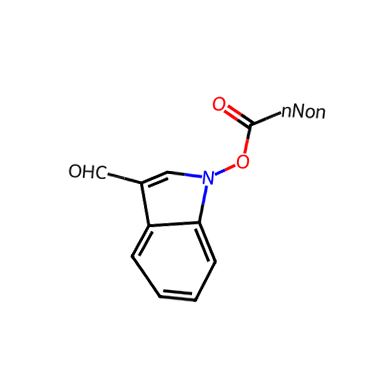 CCCCCCCCCC(=O)On1cc(C=O)c2ccccc21